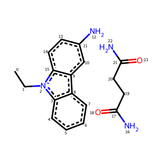 CCn1c2ccccc2c2cc(N)ccc21.NC(=O)CCC(N)=O